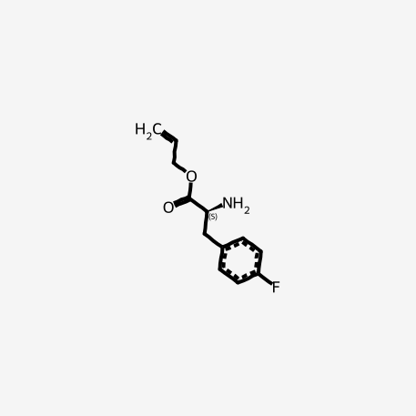 C=CCOC(=O)[C@@H](N)Cc1ccc(F)cc1